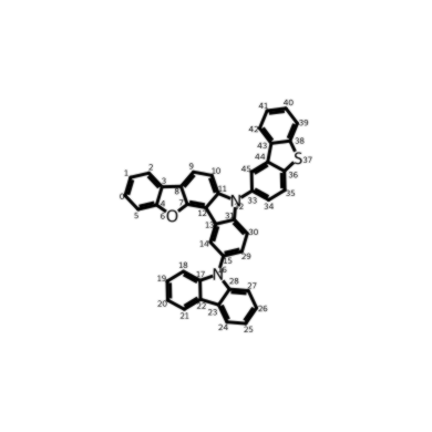 c1ccc2c(c1)oc1c2ccc2c1c1cc(-n3c4ccccc4c4ccccc43)ccc1n2-c1ccc2sc3ccccc3c2c1